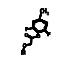 CCOCC(=O)Oc1c(F)cc(C)cc1F